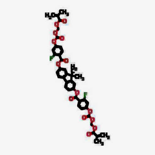 C=C(C)C(=O)OCOC(=O)Oc1ccc(C(=O)Oc2ccc3c(c2)C(C)(C)c2cc(OC(=O)c4ccc(OC(=O)OCOC(=O)C(=C)C)cc4F)ccc2-3)c(F)c1